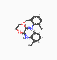 Cc1cccc(C)c1/N=C1\OCCO\C1=N\c1c(C)cccc1C